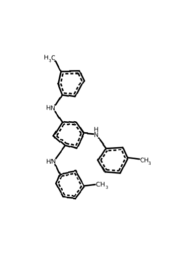 Cc1cccc(Nc2cc(Nc3cccc(C)c3)cc(Nc3cccc(C)c3)c2)c1